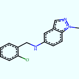 Cn1ncc2cc(NCc3ccccc3Cl)ccc21